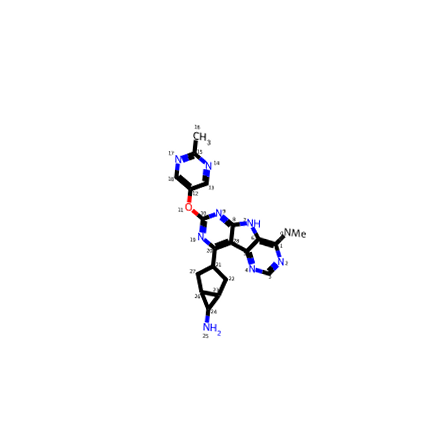 CNc1ncnc2c1[nH]c1nc(Oc3cnc(C)nc3)nc(C3CC4C(N)C4C3)c12